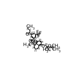 CCC[S+]([O-])c1cc(C(F)(F)F)cc(S(=O)(=O)N(C)[C@@H]2CCCc3c(OCC(=O)OC(C)(C)C)cccc32)c1